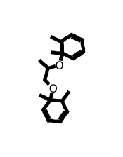 CC(COC1(C)C=CC=CC1C)OC1(C)C=CC=CC1C